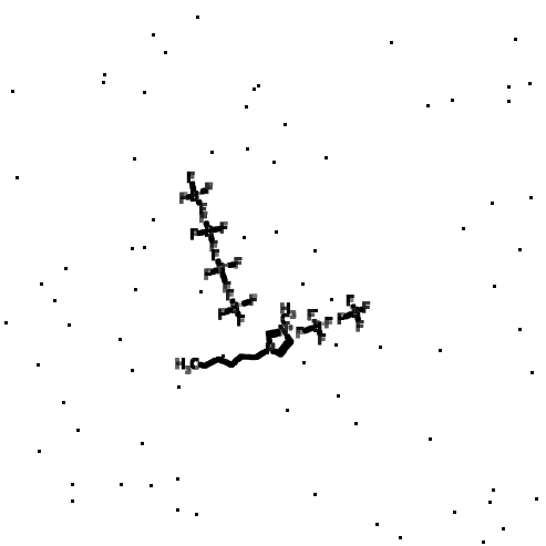 CCCCCCn1cc[n+](C)c1.F[B-](F)(F)F.F[B-](F)(F)F.F[B-](F)(F)F.F[B-](F)(F)F.F[B-](F)(F)F.F[B-](F)(F)F